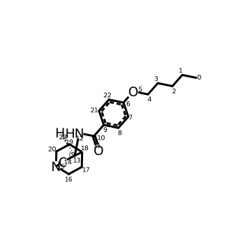 CCCCCOc1ccc(C(=O)N[C@@H]2CN3CCC2CC3)cc1